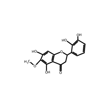 COc1c(O)cc2c(c1O)C(=O)CC(c1cccc(O)c1O)O2